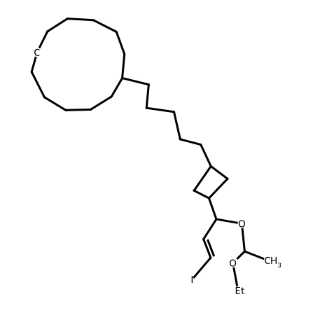 CCOC(C)OC(/C=C/I)C1CC(CCCCCC2CCCCCCCCCCC2)C1